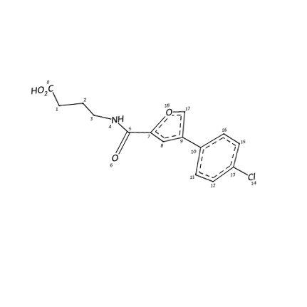 O=C(O)CCCNC(=O)c1cc(-c2ccc(Cl)cc2)co1